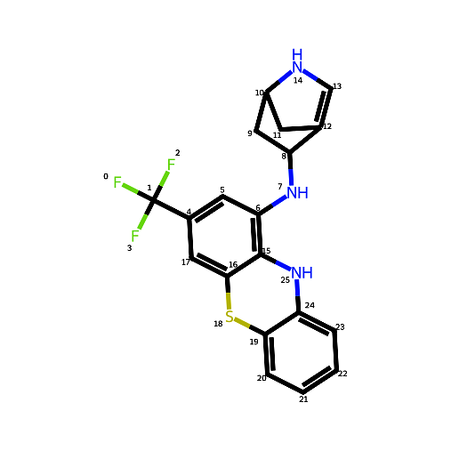 FC(F)(F)c1cc(NC2CC3CC2=CN3)c2c(c1)Sc1ccccc1N2